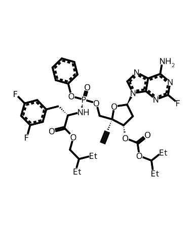 C#C[C@]1(CO[P@@](=O)(N[C@@H](Cc2cc(F)cc(F)c2)C(=O)OCC(CC)CC)Oc2ccccc2)O[C@@H](n2cnc3c(N)nc(F)nc32)C[C@@H]1OC(=O)OC(CC)CC